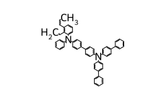 C=Cc1c(/C=C\C)cccc1N(c1ccccc1)c1ccc(-c2ccc(N(c3ccc(-c4ccccc4)cc3)c3ccc(-c4ccccc4)cc3)cc2)cc1